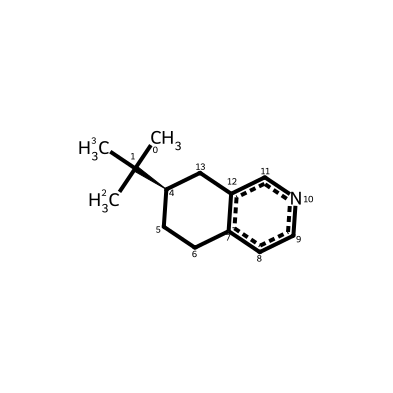 CC(C)(C)[C@@H]1CCc2ccncc2C1